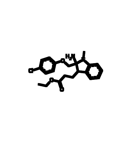 CCOC(=O)CCC1c2ccccc2N(C)C1(N)COc1ccc(Cl)cc1